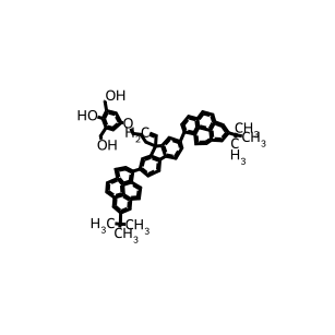 C=CC1(CCCOc2cc(CO)c(O)c(CO)c2)c2cc(-c3ccc4ccc5cc(C(C)(C)C)cc6ccc3c4c56)ccc2-c2ccc(-c3ccc4ccc5cc(C(C)(C)C)cc6ccc3c4c56)cc21